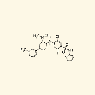 CN(C)[C@H]1C[C@H](c2cccc(C(F)(F)F)c2)CC[C@@H]1Nc1cc(F)c(S(=O)(=O)Nc2nccs2)cc1Cl